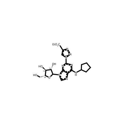 CCOC(=O)c1cn(-c2nc(NC3CCCC3)c3ncn(C4O[C@H](CO)[C@@H](O)[C@@H]4O)c3n2)nn1